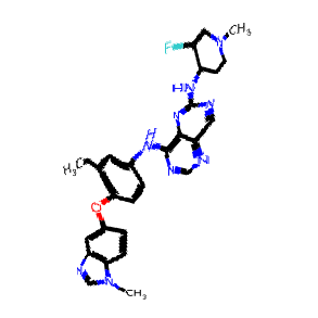 Cc1cc(Nc2ncnc3cnc(NC4CCN(C)CC4F)nc23)ccc1Oc1ccc2c(c1)ncn2C